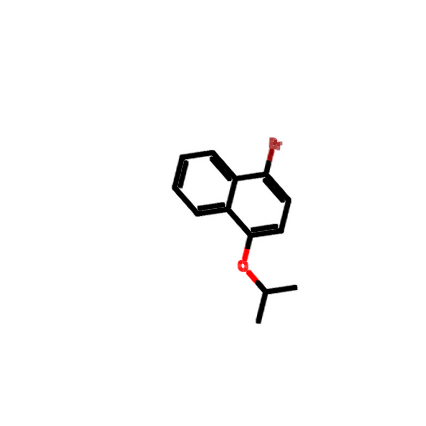 CC(C)Oc1ccc(Br)c2ccccc12